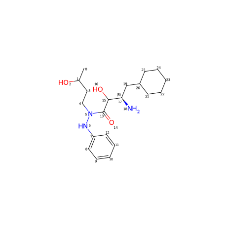 CC(O)CCN(Nc1ccccc1)C(=O)C(O)[C@H](N)CC1CCCCC1